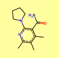 Cc1nc(N2CCCC2)c(C(N)=O)c(C)c1C